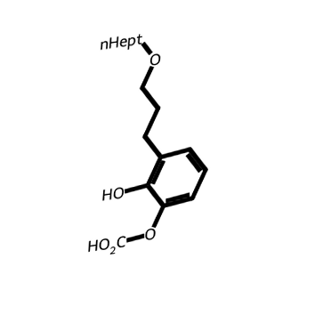 CCCCCCCOCCCc1cccc(OC(=O)O)c1O